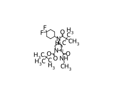 CCNC(=O)[C@@H]1C[C@H](N(C(=O)C(C)(C)C)C2CCC(F)(F)CC2)CN1C(=O)OC(C)(C)C